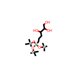 C[Si](C)(C)O[Si](CCCC(O)C(O)CO)(O[Si](C)(C)C)O[Si](C)(C)C